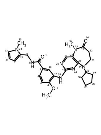 COc1ccc(C(=O)NCc2cccn2C)cc1Nc1ncc2c(n1)N(C1CCCC1)CCC(=O)N2C